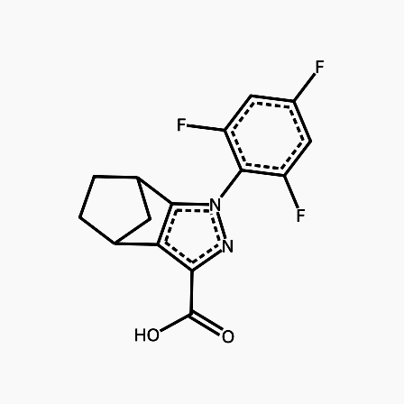 O=C(O)c1nn(-c2c(F)cc(F)cc2F)c2c1C1CCC2C1